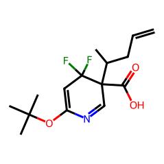 C=CCC(C)C1(C(=O)O)C=NC(OC(C)(C)C)=CC1(F)F